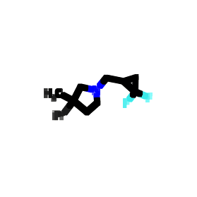 CC(C)C1(C)CCN(CC2CC2(F)F)C1